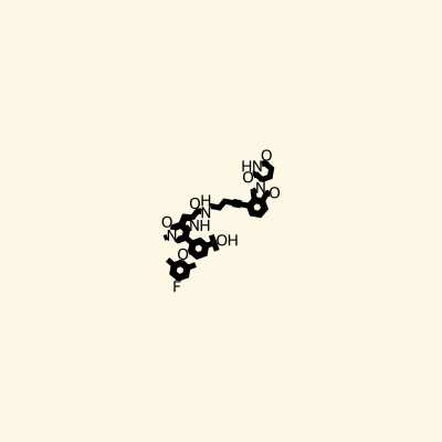 Cc1cc(F)cc(C)c1Oc1ccc(C(C)(C)O)cc1-c1cn(C)c(=O)c2cc(C(=O)NCCCC#Cc3cccc4c3CN(C3CCC(=O)NC3=O)C4=O)[nH]c12